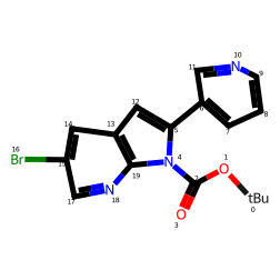 CC(C)(C)OC(=O)n1c(-c2cccnc2)cc2cc(Br)cnc21